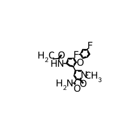 C=CC(=O)Nc1ccc(Oc2ccc(F)cc2F)c(-c2cc(C(N)=O)c(=O)n(C)c2)c1